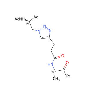 CC(=O)N[C@H](Cn1cc(CCC(=O)N[C@@H](C)C(=O)C(C)C)nn1)C(C)=O